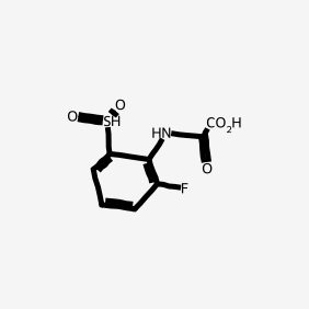 O=C(O)C(=O)Nc1c(F)cccc1[SH](=O)=O